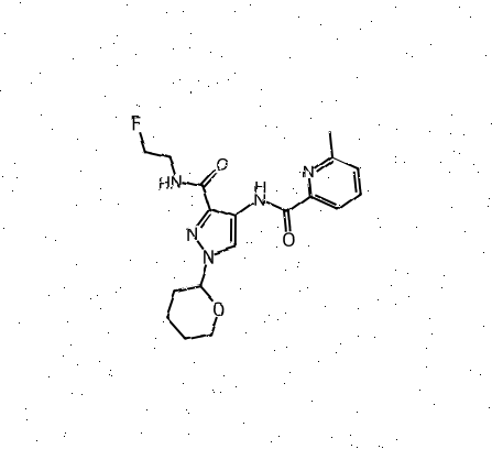 Cc1cccc(C(=O)Nc2cn(C3CCCCO3)nc2C(=O)NCCF)n1